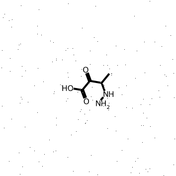 [CH2]C(NN)C(=O)C(=O)O